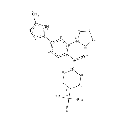 Cc1nnc(-c2ccc(C(=O)N3CCC(C(F)(F)F)CC3)c(N3CCCC3)c2)[nH]1